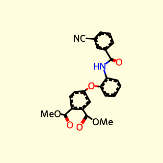 COC(=O)c1ccc(Oc2ccccc2NC(=O)c2cccc(C#N)c2)cc1C(=O)OC